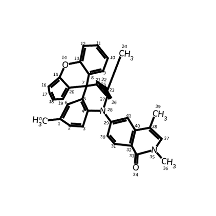 Cc1ccc2c(c1)C1(c3ccccc3Oc3ccccc31)c1cc(C)ccc1N2c1ccc2c(=O)n(C)cc(C)c2c1